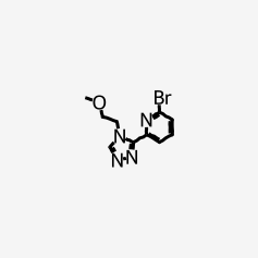 COCCn1cnnc1-c1cccc(Br)n1